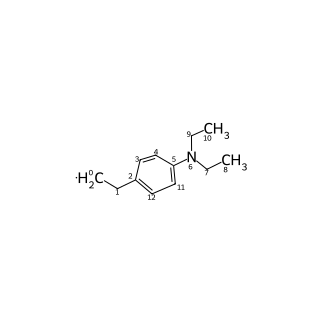 [CH2]Cc1ccc(N(CC)CC)cc1